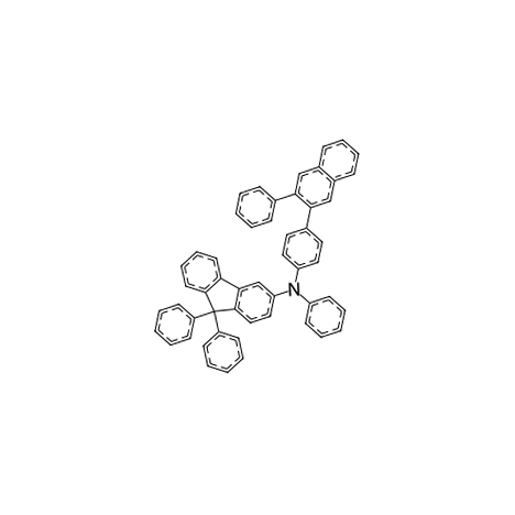 c1ccc(-c2cc3ccccc3cc2-c2ccc(N(c3ccccc3)c3ccc4c(c3)-c3ccccc3C4(c3ccccc3)c3ccccc3)cc2)cc1